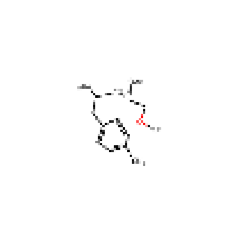 CCCCC(Cc1ccc(C)cc1)C(=O)O.CCOCCOC(C)=O